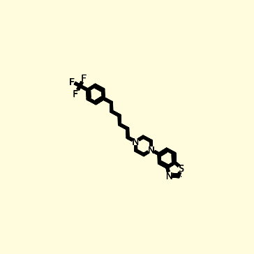 FC(F)(F)c1ccc(CCCCCCN2CCN(c3ccc4s[c]nc4c3)CC2)cc1